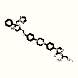 CCC(C)n1ncn(-c2ccc(N3CCN(c4ccc(OC[C@H]5CN[C@](Cn6nccn6)(c6ccccc6)O5)cc4)CC3)cc2)c1=O